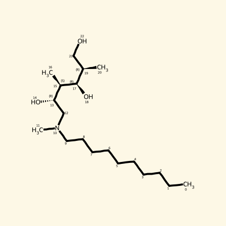 CCCCCCCCCCN(C)C[C@H](O)[C@@H](C)[C@H](O)[C@H](C)CO